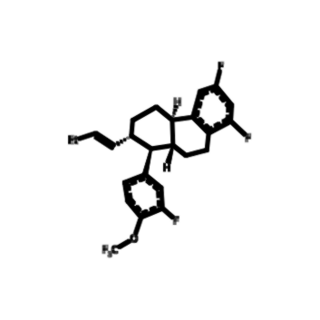 CC/C=C/[C@@H]1CC[C@H]2c3cc(F)cc(F)c3CC[C@@H]2[C@H]1c1ccc(OC(F)(F)F)c(F)c1